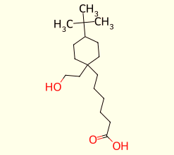 CC(C)(C)C1CCC(CCO)(CCCCCC(=O)O)CC1